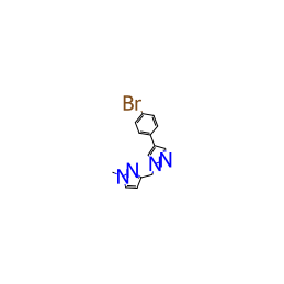 Cn1ccc(Cn2cc(-c3ccc(Br)cc3)cn2)n1